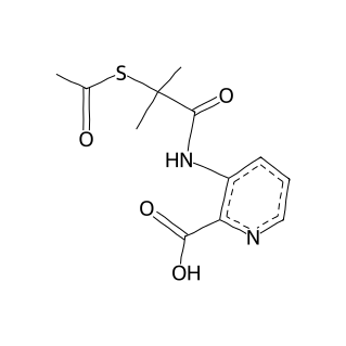 CC(=O)SC(C)(C)C(=O)Nc1cccnc1C(=O)O